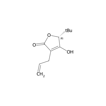 C=CCC1=C(O)[C@@H](C(C)(C)C)OC1=O